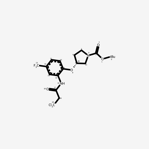 CC(C)(C)OC(=O)N1CC[C@@H](Oc2ccc(C(F)(F)F)cc2NC(=O)CC(Cl)(Cl)Cl)C1